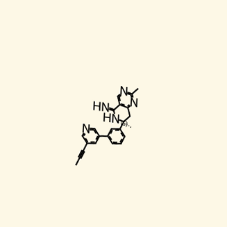 CC#Cc1cncc(-c2cccc([C@]3(C)Cc4nc(C)ncc4C(=N)N3)c2)c1